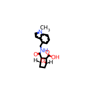 Cn1ccc2c(CNC(=O)C3C(C(=O)O)[C@@H]4CC[C@H]3O4)cccc21